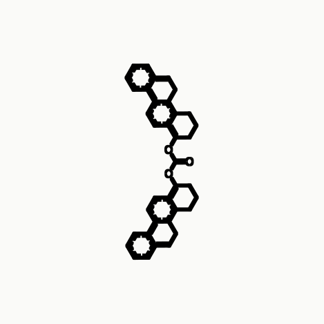 O=C(OC1=c2ccc3c(c2CCC1)CC=c1ccccc1=3)OC1=c2ccc3c(c2CCC1)CC=c1ccccc1=3